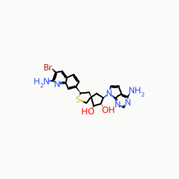 Nc1nc2cc([C@H]3C[C@@]4(CS3)C[C@@H](n3ccc5c(N)ncnc53)[C@H](O)[C@@H]4O)ccc2cc1Br